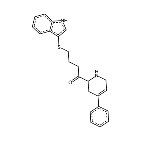 O=C(CCCSc1c[nH]c2ccccc12)C1CC(c2ccccc2)=CCN1